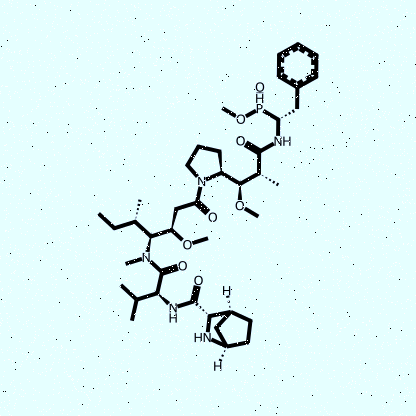 CC[C@H](C)[C@@H]([C@@H](CC(=O)N1CCC[C@H]1[C@H](OC)[C@@H](C)C(=O)N[C@@H](Cc1ccccc1)[PH](=O)OC)OC)N(C)C(=O)[C@@H](NC(=O)[C@H]1N[C@@H]2CC[C@H]1C2)C(C)C